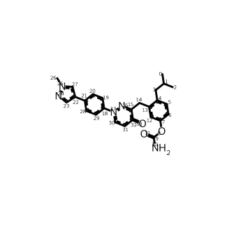 CC(C)Cc1ccc(OC(N)=O)cc1Cc1nn(-c2ccc(-c3cnn(C)c3)cc2)ccc1=O